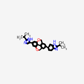 CC(C)c1ncc(-c2cc3c4c(c2)OCc2cc(-c5ccc6nc(C(C)C)[nH]c6c5)cc(c2-4)CO3)[nH]1